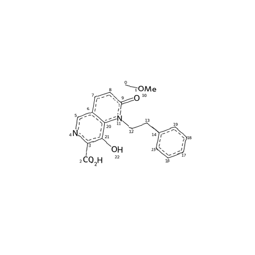 COC.O=C(O)c1ncc2ccc(=O)n(CCc3ccccc3)c2c1O